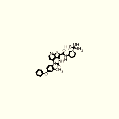 BC(B)(O)N1CCCC(NC(=O)c2sc3nccc4c3c2NC(=O)N4c2ccc(Oc3ccccc3)cc2C)C1